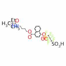 CCC(C)(C)C(=O)NCCCCOC(=O)c1ccc(OS(=O)(=O)C(F)(F)C(F)(F)C(F)(F)S(=O)(=O)O)c2ccccc12